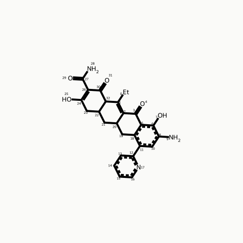 CCC1=C2C(=O)c3c(O)c(N)cc(-c4ccccn4)c3CC2CC2CC(O)=C(C(N)=O)C(=O)C12